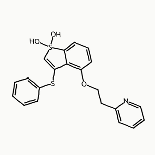 OS1(O)C=C(Sc2ccccc2)c2c(OCCc3ccccn3)cccc21